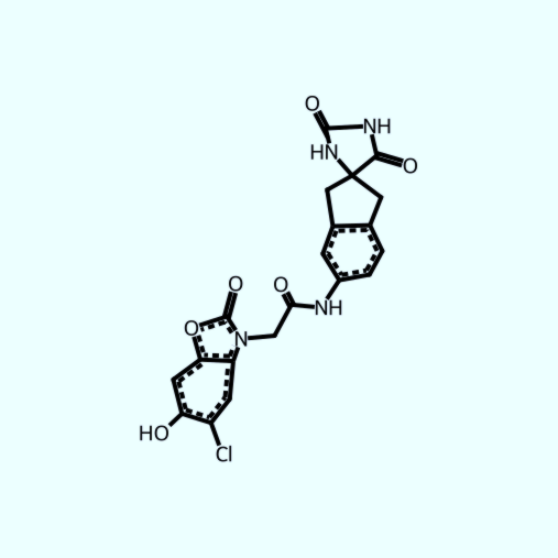 O=C(Cn1c(=O)oc2cc(O)c(Cl)cc21)Nc1ccc2c(c1)CC1(C2)NC(=O)NC1=O